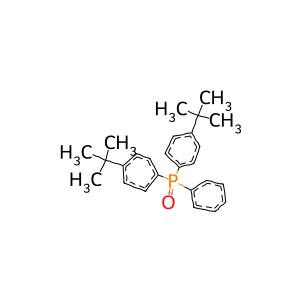 CC(C)(C)c1ccc(P(=O)(c2ccccc2)c2ccc(C(C)(C)C)cc2)cc1